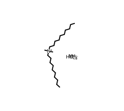 CCCCCCCCCC[N+](C)(C)CCCCCCCCCC.Cl.N.[Cl-]